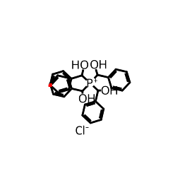 OC(c1ccccc1)[P+](C(O)c1ccccc1)(C(O)c1ccccc1)C(O)c1ccccc1.[Cl-]